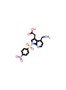 CCc1ccnc2c1c(CC(=O)O)cn2S(=O)(=O)c1ccc([N+](=O)[O-])cc1